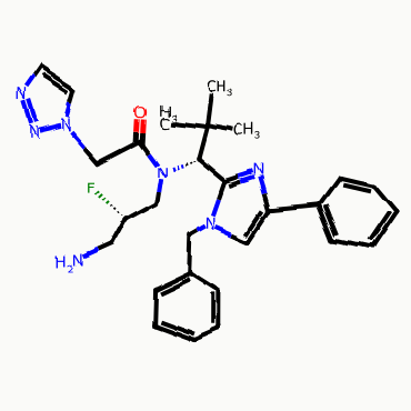 CC(C)(C)[C@H](c1nc(-c2ccccc2)cn1Cc1ccccc1)N(C[C@@H](F)CN)C(=O)Cn1ccnn1